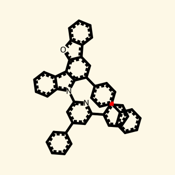 c1ccc(-c2ccc(-c3cc4c5ccccc5oc4c4c5ccccc5n(-c5cc(-c6ccccc6)cc(-c6ccccc6)n5)c34)cc2)cc1